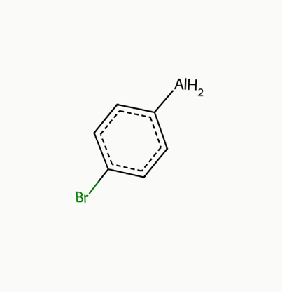 [AlH2][c]1ccc(Br)cc1